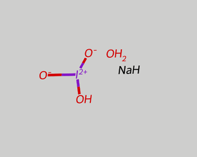 O.[NaH].[O-][I+2]([O-])O